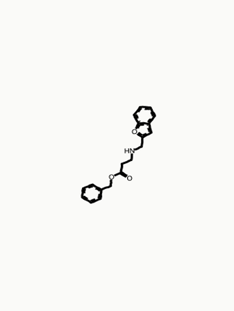 O=C(CCNCc1cc2ccccc2o1)OCc1ccccc1